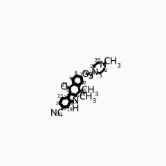 CN1CCN(SOc2ccc3c(c2)C(C)(C)c2[nH]c4cc(C#N)ccc4c2C3=O)CC1